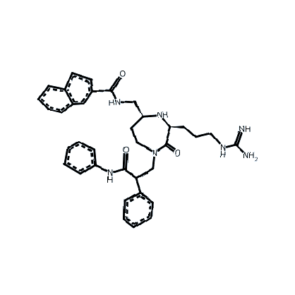 N=C(N)NCCC[C@@H]1N[C@H](CNC(=O)c2ccc3ccccc3c2)CCN(CC(C(=O)Nc2ccccc2)c2ccccc2)C1=O